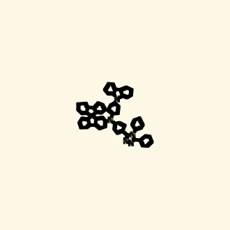 c1ccc(-c2nnc(-c3ccc(N(c4ccc(-n5c6ccccc6c6ccccc65)cc4)c4ccc5c(c4)C4(c6ccccc6-c6ccccc64)c4ccccc4-5)cc3)n2-c2ccccc2)cc1